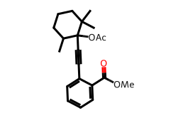 COC(=O)c1ccccc1C#CC1(OC(C)=O)C(C)CCCC1(C)C